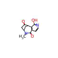 CN1C(=O)c2ccnc(O)c2C2CC1CC2=O